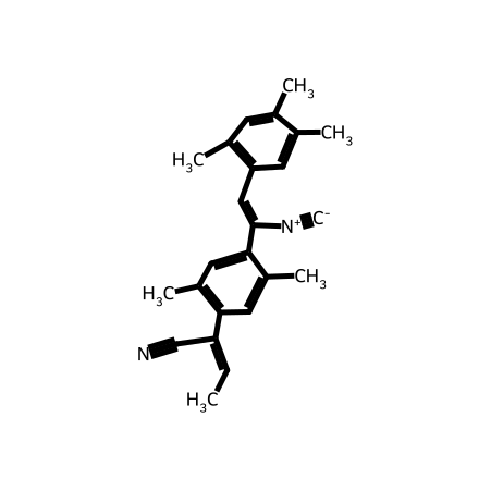 [C-]#[N+]/C(=C\c1cc(C)c(C)cc1C)c1cc(C)c(/C(C#N)=C/C)cc1C